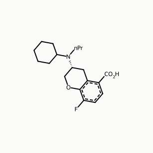 CCCN(C1CCCCC1)[C@H]1COc2c(F)ccc(C(=O)O)c2C1